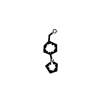 [O]Cc1ccc(-n2cccc2)cc1